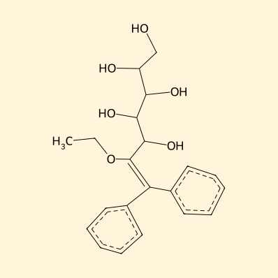 CCOC(=C(c1ccccc1)c1ccccc1)C(O)C(O)C(O)C(O)CO